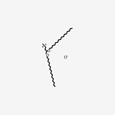 CCCCCCCCCCCCCCCCOCC(CC[N+](C)(C)C)OCCCCCCCCCCCCCCCC.[Cl-]